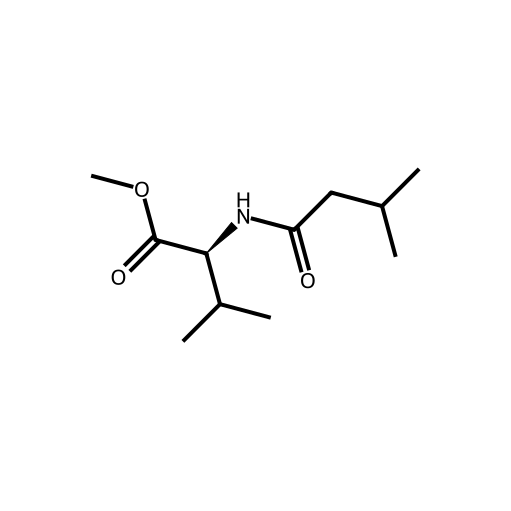 COC(=O)[C@@H](NC(=O)CC(C)C)C(C)C